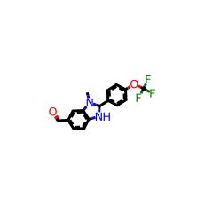 CN1c2cc(C=O)ccc2NC1c1ccc(OC(F)(F)F)cc1